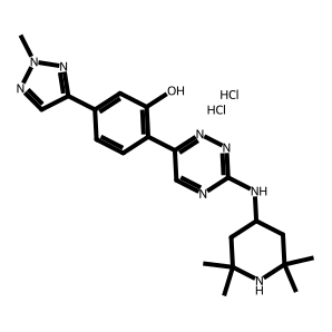 Cl.Cl.Cn1ncc(-c2ccc(-c3cnc(NC4CC(C)(C)NC(C)(C)C4)nn3)c(O)c2)n1